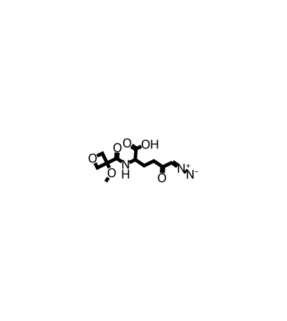 COC1(C(=O)NC(CCC(=O)C=[N+]=[N-])C(=O)O)COC1